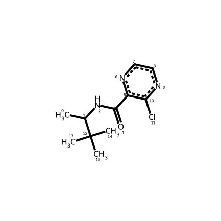 CC(NC(=O)c1nccnc1Cl)C(C)(C)C